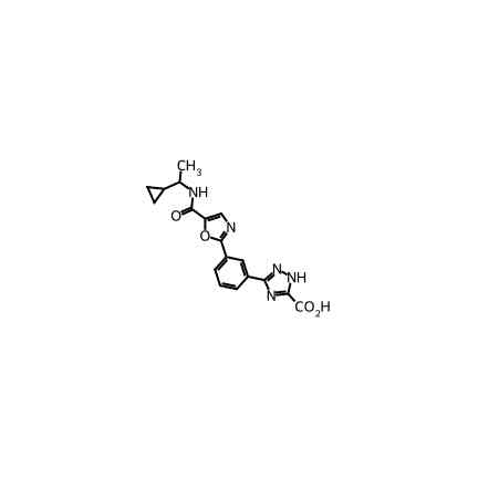 CC(NC(=O)c1cnc(-c2cccc(-c3n[nH]c(C(=O)O)n3)c2)o1)C1CC1